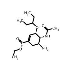 CCO[PH](=O)C1=C[C@@H](OC(CC)CC)[C@H](NC(C)=O)[C@@H](N)C1